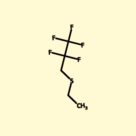 CCSCC(F)(F)C(F)(F)F